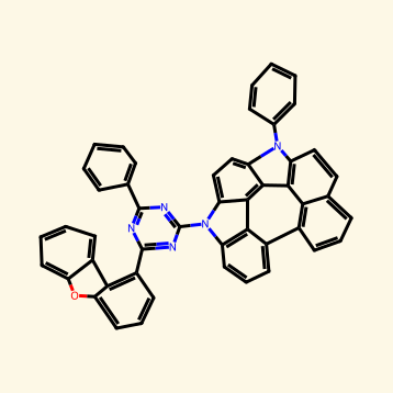 c1ccc(-c2nc(-c3cccc4oc5ccccc5c34)nc(-n3c4cccc5c4c4c6c7c8c-5cccc8ccc7n(-c5ccccc5)c6ccc43)n2)cc1